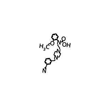 CCOc1ccccc1N(CCN1CCN(Cc2cccc(C#N)c2)CC1)C(=O)O